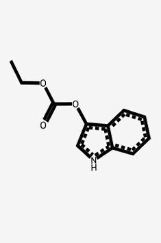 CCOC(=O)Oc1c[nH]c2ccccc12